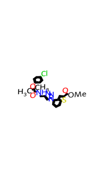 COC(=O)c1cc2c(-n3cc(CNC(=O)C(C)(C)Oc4ccc(Cl)cc4)nn3)cccc2s1